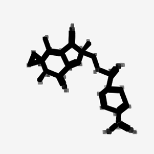 CC1=C2C(=O)[C@](C)(COC(=O)c3ccc([N+](=O)[O-])cc3)C=C2C(=O)[C@@H](C)C12CC2